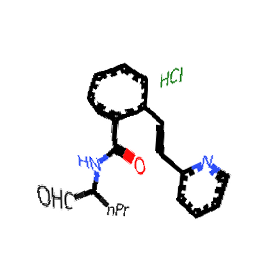 CCCC(C=O)NC(=O)c1ccccc1/C=C/c1ccccn1.Cl